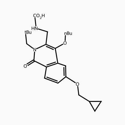 CCCCOc1c(CNC(=O)O)n(CC(C)(C)C)c(=O)c2ccc(OCC3CC3)cc12